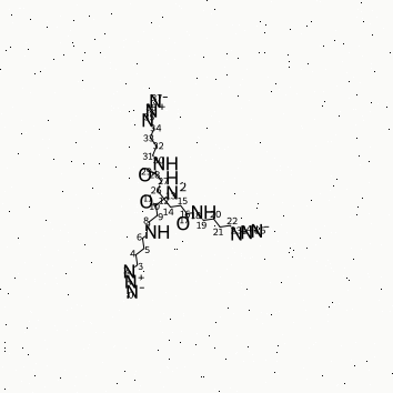 [N-]=[N+]=NCCCCNCCC(=O)C(N)(CCC(=O)NCCCCN=[N+]=[N-])CCC(=O)NCCCCN=[N+]=[N-]